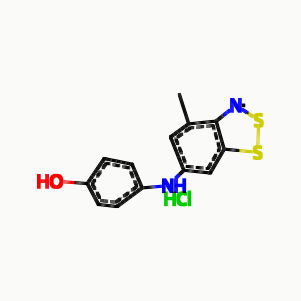 Cc1cc(Nc2ccc(O)cc2)cc2c1[N]SS2.Cl